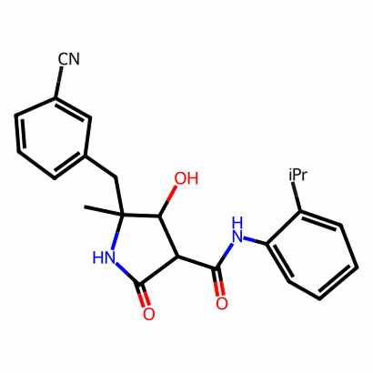 CC(C)c1ccccc1NC(=O)C1C(=O)NC(C)(Cc2cccc(C#N)c2)C1O